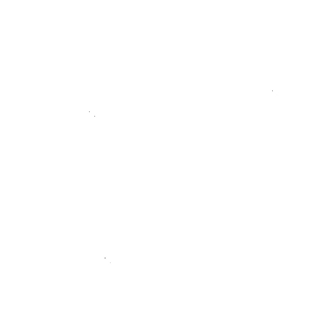 CCCCCCCCCC(=O)Oc1ccc2[nH]c3c(C)c4ccncc4c(C)c3c2c1